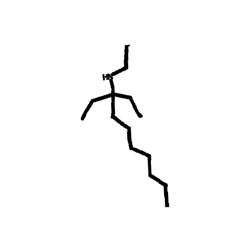 [CH2]CNC(CC)(CC)CCCCCCC